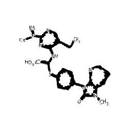 CCN(CC)c1ncc(CC(F)(F)F)c(NC(Sc2ccc(-n3c(=O)n(C)c4cccnc43)cc2)C(=O)O)n1